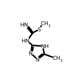 CSC(=N)Nc1nnc(C)[nH]1